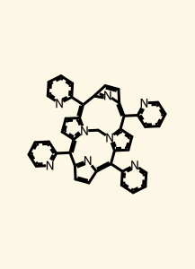 C1=C/C2=C(\c3ccccn3)c3ccc4n3Cn3/c(cc/c3=C(\c3ccccn3)C3=N/C(=C\4c4ccccn4)C=C3)=C(/c3ccccn3)C1=N2